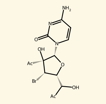 CC(=O)C(O)[C@H]1O[C@@H](n2ccc(N)nc2=O)[C@@](O)(C(C)=O)[C@H]1Br